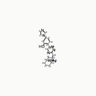 Oc1cc(-n2ccnc2)ccc1-c1cnc(/C=C2\CC3CCCC(N3)[C@@H]2F)nn1